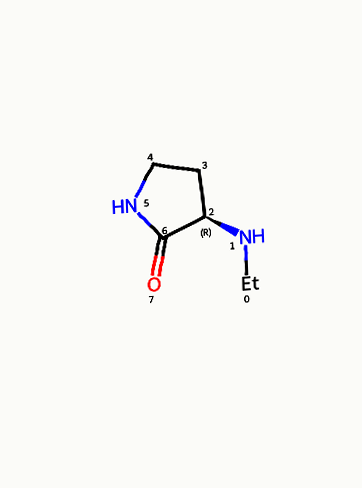 CCN[C@@H]1CCNC1=O